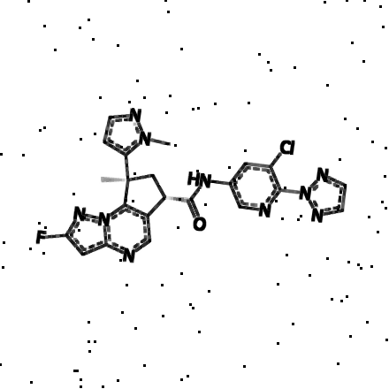 Cn1nccc1[C@@]1(C)C[C@H](C(=O)Nc2cnc(-n3nccn3)c(Cl)c2)c2cnc3cc(F)nn3c21